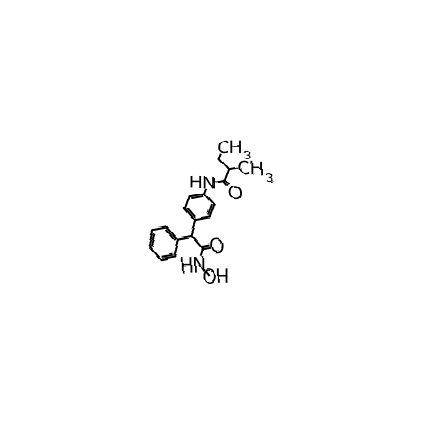 CCC(C)C(=O)Nc1ccc(C(C(=O)NO)c2ccccc2)cc1